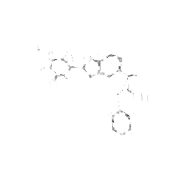 Cc1c(-c2cc3cc(C(=O)N(C)Cc4ccccc4)ccc3o2)oc(=O)c(C)c1O